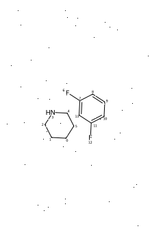 C1CCNCC1.Fc1cccc(F)c1